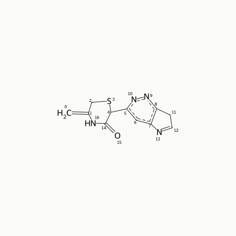 C=C1CSC(c2cc3c(nn2)CC=N3)C(=O)N1